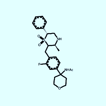 CC(=O)NC1(c2ccc(CC3[C@H](C)NC[C@@H](c4ccccc4)S3(=O)=O)c(F)c2)CCOCC1